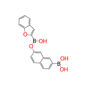 OB(O)c1ccc2ccc(OB(O)c3cc4ccccc4o3)cc2c1